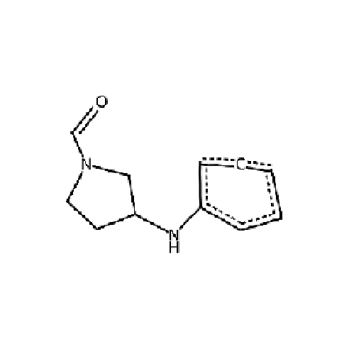 O=CN1CCC(Nc2ccccc2)C1